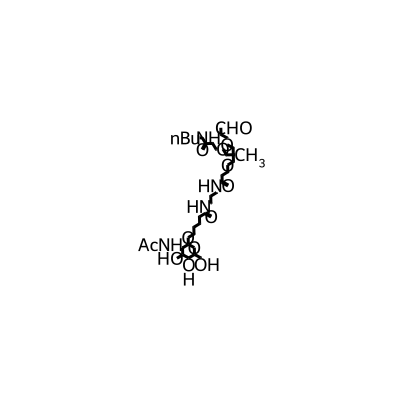 CCCCNC(=O)CCOCC(C)(COCCC=O)COCCC(=O)NCCCNC(=O)CCCCOC1OC(CO)C(O)C(O)C1NC(C)=O